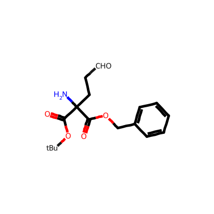 CC(C)(C)OC(=O)C(N)(CCC=O)C(=O)OCc1ccccc1